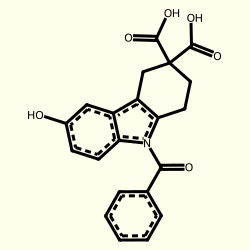 O=C(c1ccccc1)n1c2c(c3cc(O)ccc31)CC(C(=O)O)(C(=O)O)CC2